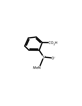 CN[S+]([O-])c1ccccc1C(=O)O